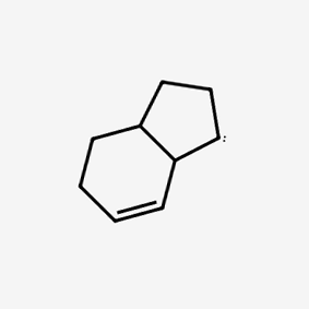 [C]1CCC2CCC=CC12